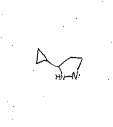 C1CC(C2CC2)N[N]1